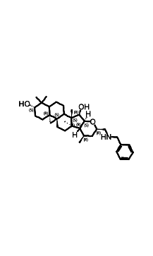 C[C@@H]1C[C@H](CNCc2ccccc2)O[C@H]2[C@H]1[C@@]1(C)CC[C@@]34C[C@@]35CC[C@H](O)C(C)(C)C5CCC4[C@]1(C)[C@H]2O